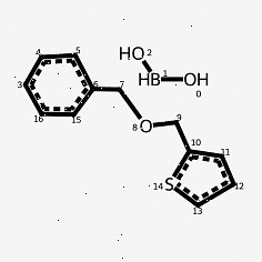 OBO.c1ccc(COCc2cccs2)cc1